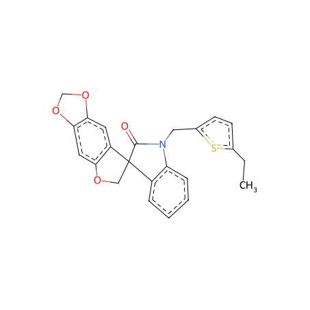 CCc1ccc(CN2C(=O)C3(COc4cc5c(cc43)OCO5)c3ccccc32)s1